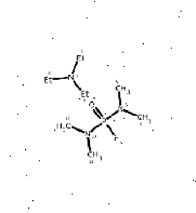 CCN(CC)CC.CN(C)P(=O)(F)N(C)C